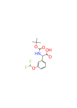 CC(C)(C)OC(=O)NC(C(=O)O)c1cccc(OC(F)F)c1